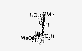 COC(COCC(=O)NCCCCC(NC(=O)COCC(OC)C(=O)O)C(=O)O)C(=O)O